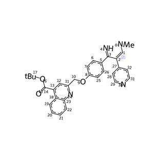 CN/C=C(\C(=N)c1ccc(OCc2cc(C(=O)OC(C)(C)C)c3ccccc3n2)cc1)c1ccncc1